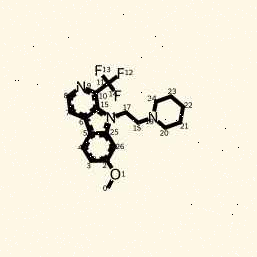 COc1ccc2c3ccnc(C(F)(F)F)c3n(CCN3CCCCC3)c2c1